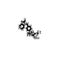 CCOC[C@@H](NS(=O)(=O)c1ccc(Cn2c(C)nc3cnccc32)cc1)C(C)CC